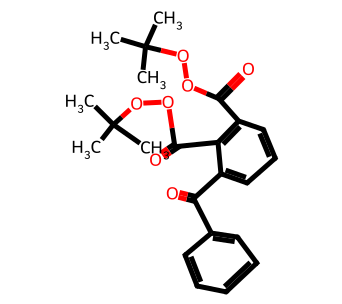 CC(C)(C)OOC(=O)c1cccc(C(=O)c2ccccc2)c1C(=O)OOC(C)(C)C